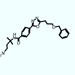 CC(C)(CCN)NC(=O)c1ccc(-c2nnc(CCCOCc3ccccc3)o2)cc1